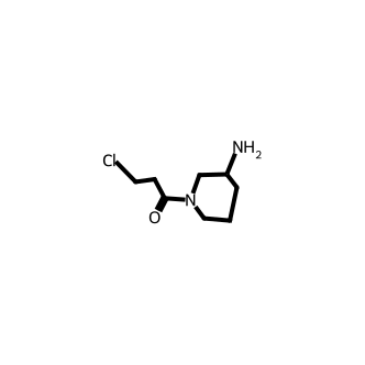 NC1CCCN(C(=O)CCCl)C1